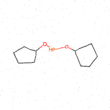 C1CCC(OPOC2CCCC2)C1